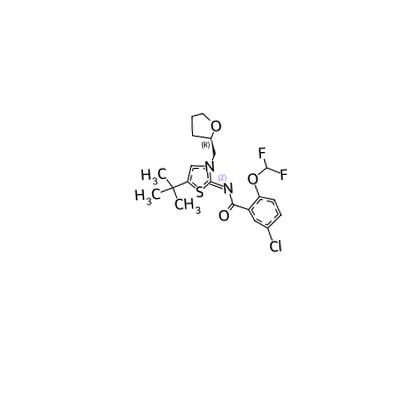 CC(C)(C)c1cn(C[C@H]2CCCO2)/c(=N/C(=O)c2cc(Cl)ccc2OC(F)F)s1